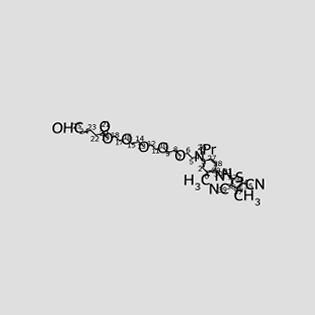 Cc1cc(N(CCOCCOCCOCCOCCOC(=O)CCCC=O)C(C)C)ccc1/N=N/c1sc(C#N)c(C)c1C#N